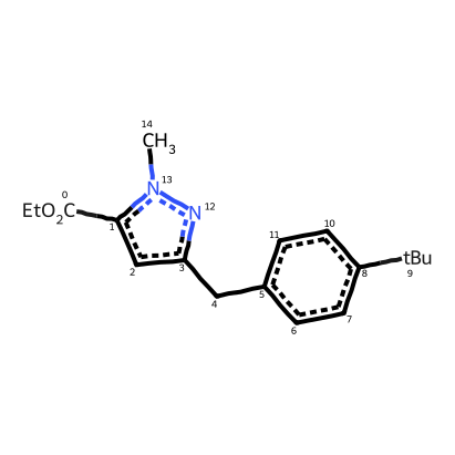 CCOC(=O)c1cc(Cc2ccc(C(C)(C)C)cc2)nn1C